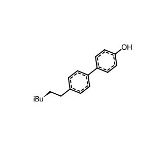 CC[C@H](C)CCc1ccc(-c2ccc(O)cc2)cc1